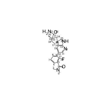 CN(C)C(=O)c1cccc(-c2cnc3c(c2)[C@]2(CC[C@](C)(C(N)=O)C2)CN3)c1F